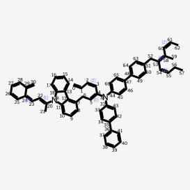 C=C/C=C\C(=C/Cc1cccc2c1c1ccccc1n2/C(C)=C/C=c1/ccccc1=C)N(c1ccc(-c2ccccc2)cc1)c1ccc(-c2ccc(CC(/C=C\CC)=C(C)\C=C/C)cc2)cc1